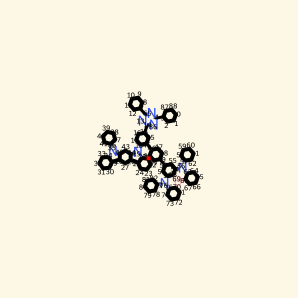 c1ccc(-c2nc(-c3ccccc3)nc(-c3ccc(-n4c5ccccc5c5cc6c7ccccc7n(-c7ccccc7)c6cc54)c(-c4ccc(-c5cc6c7c(c5)N(c5ccccc5)c5ccccc5B7c5ccccc5N6c5ccccc5)cc4)c3)n2)cc1